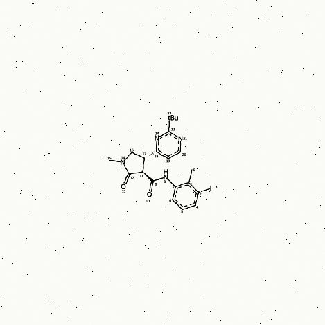 Cc1c(F)cccc1NC(=O)[C@H]1C(=O)N(C)C[C@@H]1c1ccnc(C(C)(C)C)n1